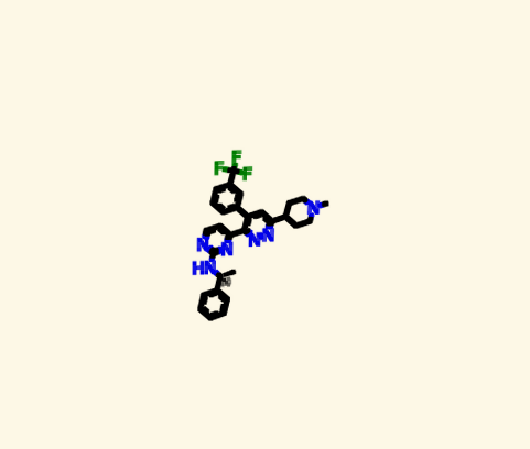 C[C@H](Nc1nccc(-c2nnc(C3CCN(C)CC3)cc2-c2cccc(C(F)(F)F)c2)n1)c1ccccc1